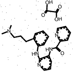 CN(C)CCCc1ccccc1Nc1ncccc1NC(=O)c1ccccn1.O=C(O)C(=O)O